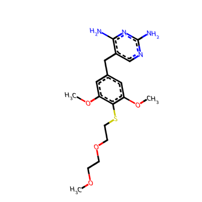 COCCOCCSc1c(OC)cc(Cc2cnc(N)nc2N)cc1OC